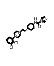 O=C(N[C@H]1CC[C@H](CCN2CCN(c3cccc(Cl)c3Cl)CC2)CC1)n1ccnc1